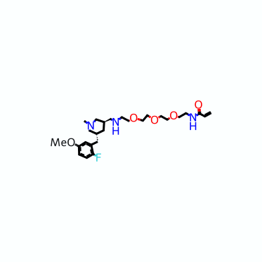 C=CC(=O)NCCOCCOCCOCCNC[C@H]1C[C@H](Cc2cc(OC)ccc2F)CN(C)C1